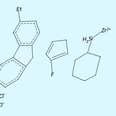 CCc1ccc2c(c1)-c1ccccc1C2.FC1=CCC=C1.[Cl-].[Cl-].[Zr+2][SiH2]C1CCCCC1